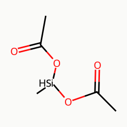 CC(=O)O[SiH](C)OC(C)=O